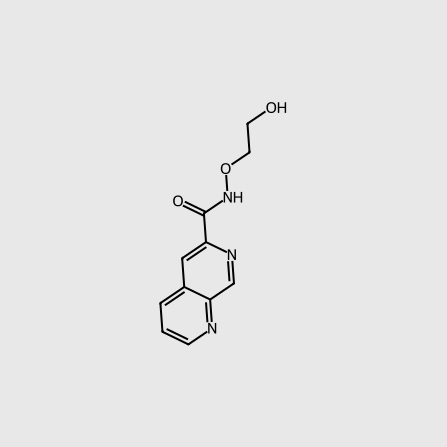 O=C(NOCCO)c1cc2cccnc2cn1